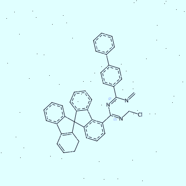 C=N/C(=N\C(=N/CCl)c1cccc2c1-c1ccccc1C21C2=C(C=CCC2)c2ccccc21)c1ccc(-c2ccccc2)cc1